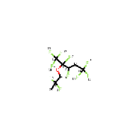 CC(F)(F)COC(F)(C(F)CC(F)(F)F)C(F)(F)F